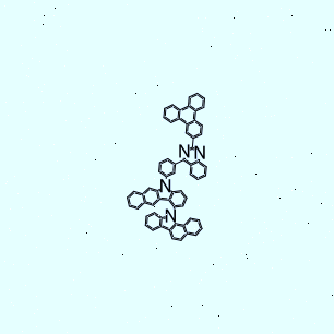 c1cc(-c2nc(-c3ccc4c5ccccc5c5ccccc5c4c3)nc3ccccc23)cc(-n2c3cc4ccccc4cc3c3c(-n4c5ccccc5c5ccc6ccccc6c54)cccc32)c1